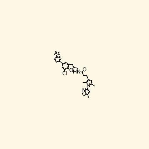 CC(=O)c1ccc(-c2cc(Cl)c3c(c2)CC(CNC(=O)/C=C/c2cc(C)n(-c4cc(C)on4)c2C)O3)s1